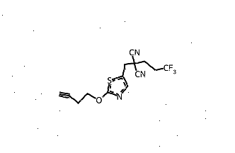 C#CCCOc1ncc(CC(C#N)(C#N)CCC(F)(F)F)s1